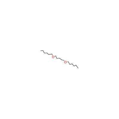 CCCCCCOCCCCCOCCCCCC